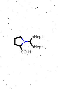 CCCCCCCC(CCCCCCC)N1CCCC1C(=O)O